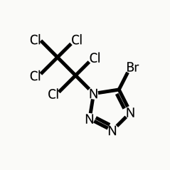 ClC(Cl)(Cl)C(Cl)(Cl)n1nnnc1Br